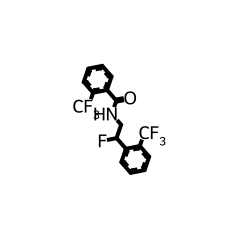 O=C(NCC(F)c1ccccc1C(F)(F)F)c1ccccc1C(F)(F)F